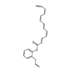 C=CCc1ccccc1OC(=O)/C=C/C=C\C=C\C=C/C=C\CCCCCCCCC